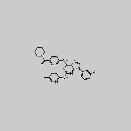 Cc1ccc(Nc2nc(Nc3ccc(C(=O)N4CCCCC4)cc3)c3ncn(-c4cccc(F)c4)c3n2)nc1